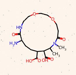 CC1C(C(=O)O)C(C(=O)O)CCC(N)C(=O)NCCOCCOCCC(=O)N1C